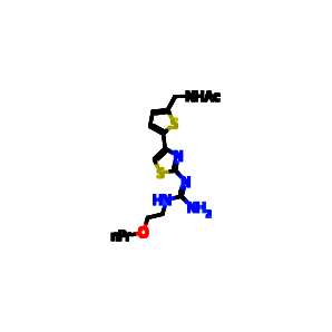 CCCOCCNC(N)=Nc1nc(-c2ccc(CNC(C)=O)s2)cs1